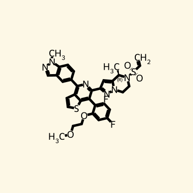 C=CS(=O)(=O)N1CCn2nc(-c3nc(-c4ccc5c(cnn5C)c4)c4ccsc4c3-c3c(F)cc(F)cc3OCCOC)cc2[C@H]1C